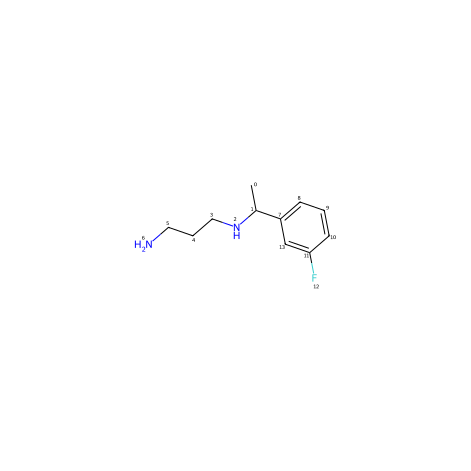 CC(NCCCN)c1cccc(F)c1